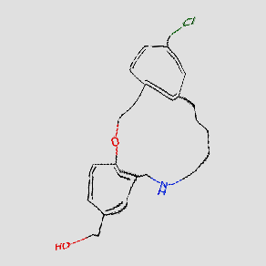 OCc1ccc2c(c1)NCCCCc1cc(Cl)ccc1CO2